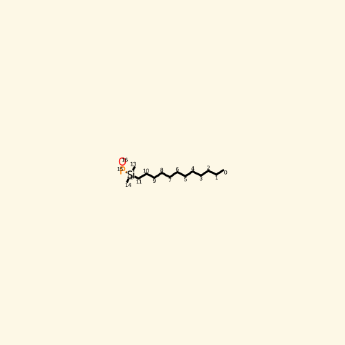 CCCCCCCCCCCC[Si](C)(C)P=O